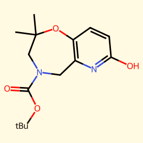 CC(C)(C)OC(=O)N1Cc2nc(O)ccc2OC(C)(C)C1